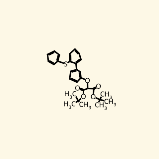 CC(C)(C)OC(=O)C(Oc1cccc(-c2ccccc2Sc2ccccc2)c1)C(=O)OC(C)(C)C